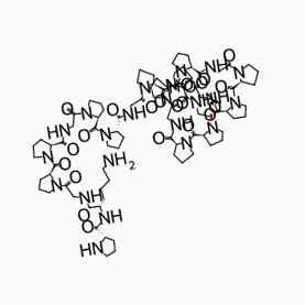 NCCCC[C@H](NC(=O)[C@@H]1CCCN1)C(=O)NCC(=O)N1CCC[C@H]1C(=O)N1CCC[C@H]1C(=O)NCC(=O)N1CCC[C@H]1C(=O)N1CCC[C@H]1C(=O)NCC(=O)N1CCC[C@H]1C(=O)N1CCC[C@H]1C(=O)NCC(=O)N1CCC[C@H]1C(=O)N1CCC[C@H]1C(=O)NCC(=O)N1CCC[C@H]1C(=O)N1CCC[C@H]1C(=O)NCC(=O)N1CCC[C@H]1C(=O)N1CCC[C@H]1C(=O)NCC(=O)O